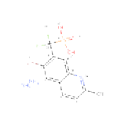 N.N.N#Cc1ccc2cc(Br)c(C(F)(F)P(=O)(O)O)cc2n1